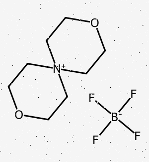 C1C[N+]2(CCO1)CCOCC2.F[B-](F)(F)F